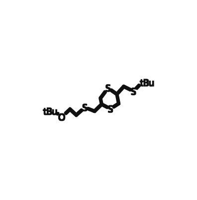 CC(C)(C)OCCSCC1CSC(CSC(C)(C)C)CS1